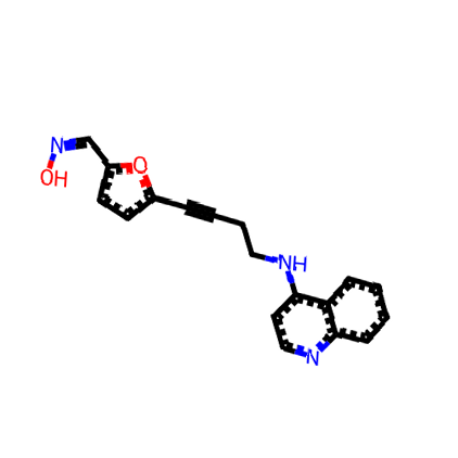 O/N=C\c1ccc(C#CCCNc2ccnc3ccccc23)o1